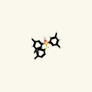 Cc1ccc(SP(=O)(c2cc(C)cc(C)c2)c2cc(C)cc(C)c2)cc1